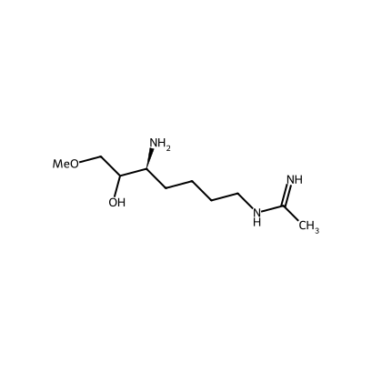 COCC(O)[C@@H](N)CCCCNC(C)=N